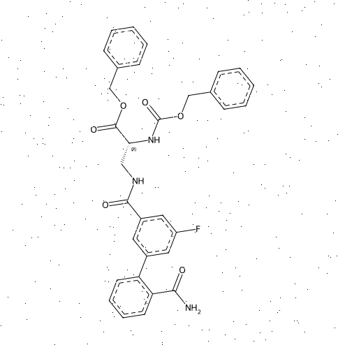 NC(=O)c1ccccc1-c1cc(F)cc(C(=O)NC[C@@H](NC(=O)OCc2ccccc2)C(=O)OCc2ccccc2)c1